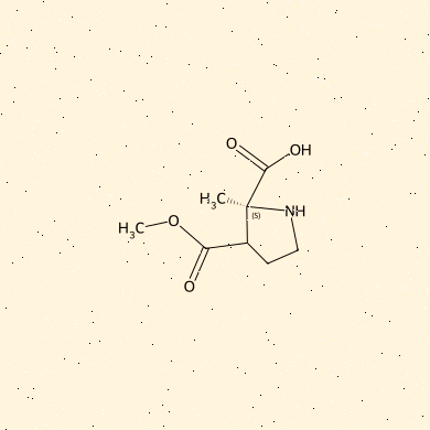 COC(=O)C1CCN[C@]1(C)C(=O)O